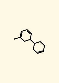 IC1=CC=CC(C2CC=CCC2)C1